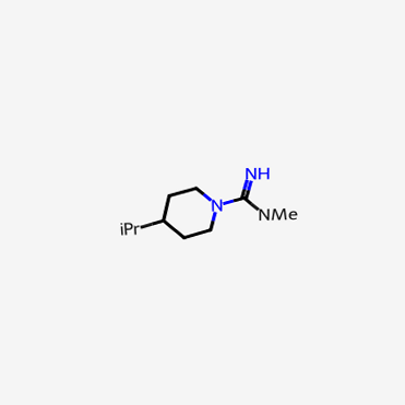 CNC(=N)N1CCC(C(C)C)CC1